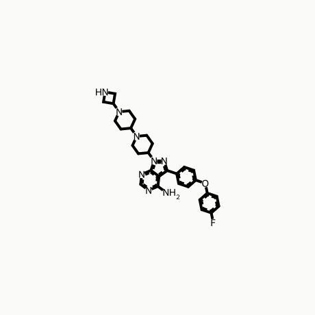 Nc1ncnc2c1c(-c1ccc(Oc3ccc(F)cc3)cc1)nn2C1CCN(C2CCN(C3CNC3)CC2)CC1